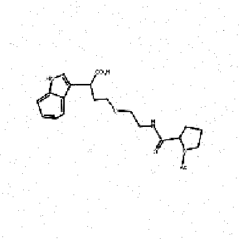 CC(=O)N1CCCC1C(=O)NCCOCCC(C(=O)O)c1c[nH]c2ccccc12